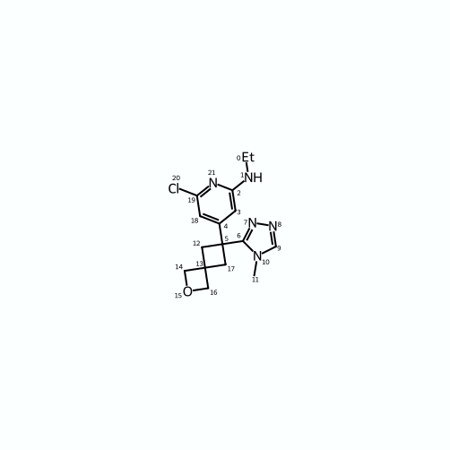 CCNc1cc(C2(c3nncn3C)CC3(COC3)C2)cc(Cl)n1